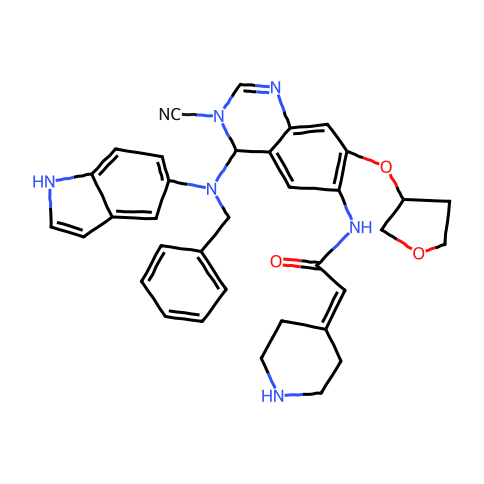 N#CN1C=Nc2cc(OC3CCOC3)c(NC(=O)C=C3CCNCC3)cc2C1N(Cc1ccccc1)c1ccc2[nH]ccc2c1